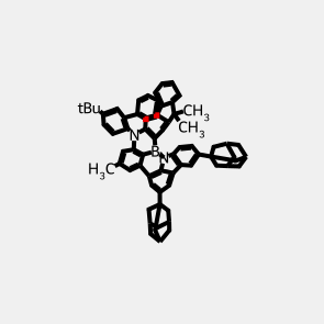 Cc1cc2c3c(c1)N(c1ccc(C(C)(C)C)cc1-c1ccccc1)c1cc4c(cc1B3n1c3ccc(C56CC7CC(CC(C7)C5)C6)cc3c3cc(C56CC7CC(CC(C7)C5)C6)cc-2c31)C(C)(C)c1ccccc1-4